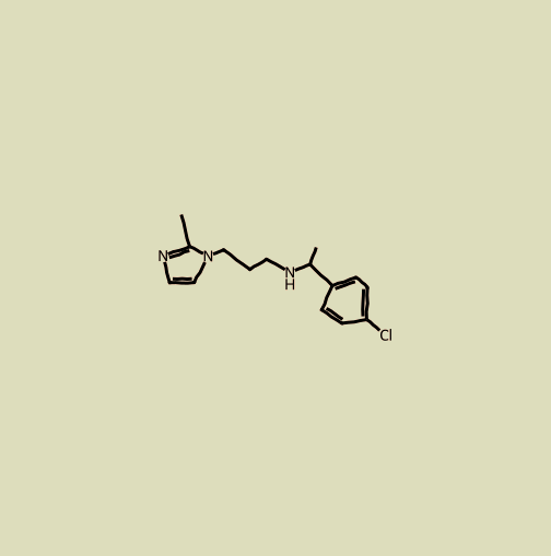 Cc1nccn1CCCNC(C)c1ccc(Cl)cc1